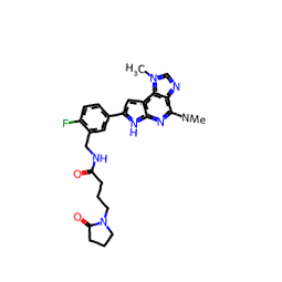 CNc1nc2[nH]c(-c3ccc(F)c(CNC(=O)CCCN4CCCC4=O)c3)cc2c2c1ncn2C